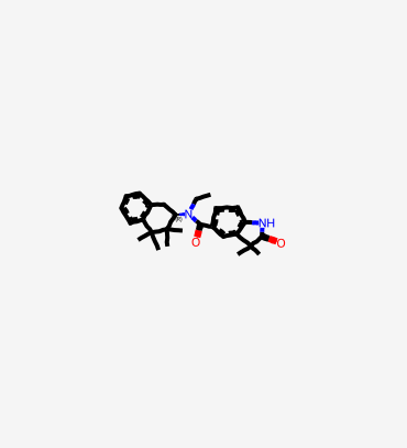 CCN(C(=O)c1ccc2c(c1)C(C)(C)C(=O)N2)[C@@H]1Cc2ccccc2C(C)(C)C1(C)C